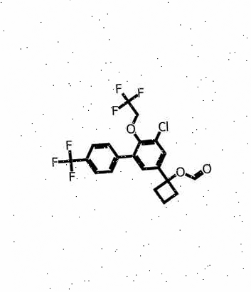 O=COC1(c2cc(Cl)c(OCC(F)(F)F)c(-c3ccc(C(F)(F)F)cc3)c2)CCC1